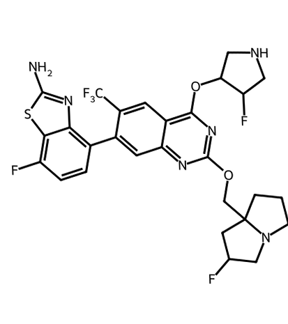 Nc1nc2c(-c3cc4nc(OCC56CCCN5CC(F)C6)nc(OC5CNCC5F)c4cc3C(F)(F)F)ccc(F)c2s1